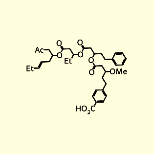 CCC=CCC(CC(C)=O)OC(=O)CC(CC)OC(=O)CC(CCc1ccccc1)OC(=O)CC(CCc1ccc(C(=O)O)cc1)OC